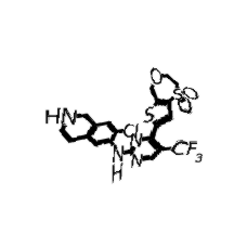 O=S1(=O)CCOCc2sc(-c3nc(Nc4cc5c(cc4Cl)CNCC5)ncc3C(F)(F)F)cc21